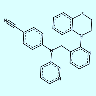 N#Cc1ccc(N(Cc2cccnc2N2CCSc3ccccc32)c2cccnc2)cc1